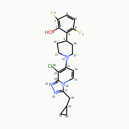 Oc1c(F)ccc(F)c1C1CCN(c2ccn3c(CC4CC4)nnc3c2Cl)CC1